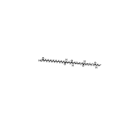 CCCNC(=O)COCCOCCNC(=O)COCCOCCNC(=O)CCCNC(=O)CCCCCCCCCCCCCCCCC(=O)O